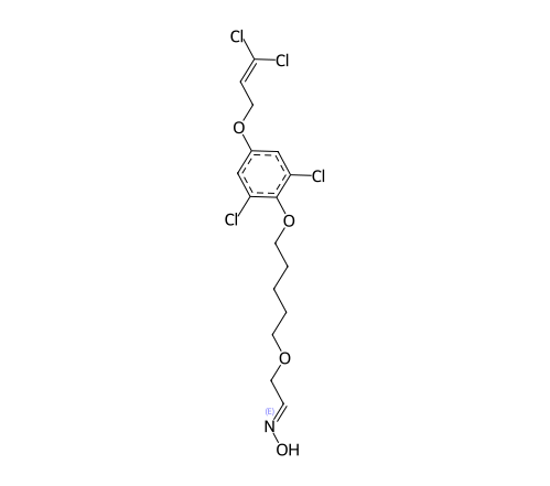 O/N=C/COCCCCCOc1c(Cl)cc(OCC=C(Cl)Cl)cc1Cl